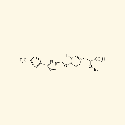 CCOC(Cc1ccc(OCc2csc(-c3ccc(C(F)(F)F)cc3)n2)c(F)c1)C(=O)O